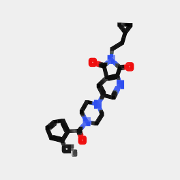 O=C(c1ccccc1C(F)(F)F)N1CCN(c2cnc3c(c2)C(=O)N(CCC2CC2)C3=O)CC1